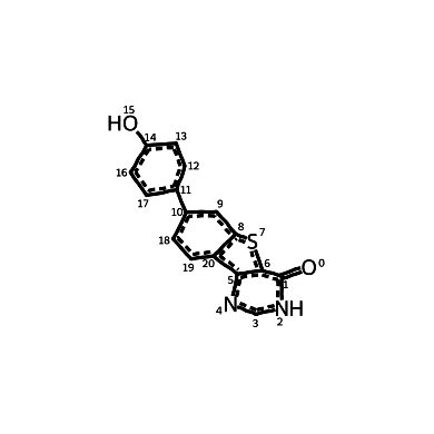 O=c1[nH]cnc2c1sc1cc(-c3ccc(O)cc3)ccc12